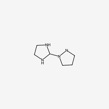 C1C[N]N(C2NCCN2)C1